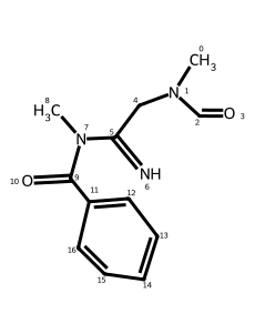 CN(C=O)CC(=N)N(C)C(=O)c1ccccc1